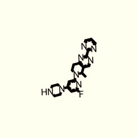 CC1c2cnc(-c3ncccn3)nc2CCN1c1cc(N2CCNCC2)cc(F)n1